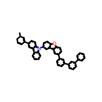 CC1C=C(c2ccc3c(c2)c2ccccc2n3-c2ccc3oc4ccc(-c5cccc(-c6cccc(-c7ccccc7)c6)c5)cc4c3c2)C=CC1